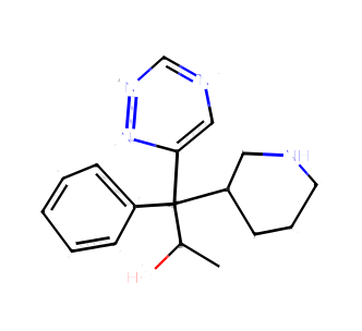 CC(O)C(c1ccccc1)(c1cncnn1)C1CCCNC1